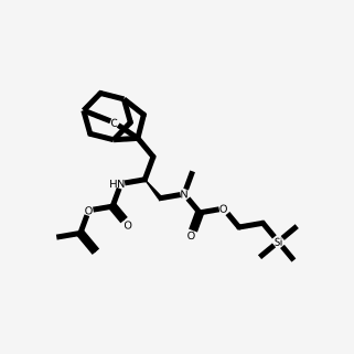 C=C(C)OC(=O)N[C@H](CN(C)C(=O)OCC[Si](C)(C)C)CC12CC3CC(CC1C3)C2